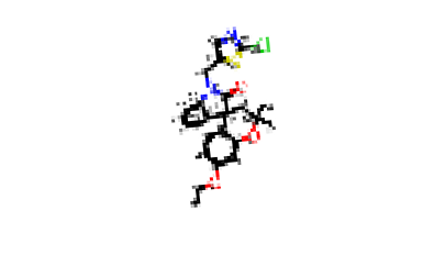 CCOc1ccc2c(c1)OC(C)(C)CC21C(=O)N(Cc2cnc(Cl)s2)c2ccccc21